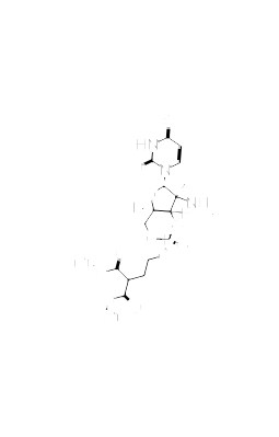 CC(C)OC(=O)C(CCO[P@@]1(=O)OC[C@H]2O[C@@H](n3ccc(=O)[nH]c3=O)[C@](C)(N)[C@@H]2O1)C(=O)OC(C)C